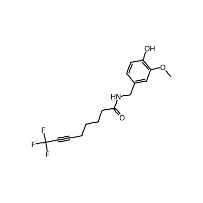 COc1cc(CNC(=O)CCCCC#CC(F)(F)F)ccc1O